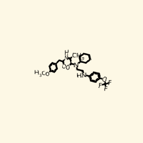 COc1ccc(CC(=O)NC(C)C(=O)N(CCNc2ccc(OC(F)(F)F)cc2)C2CCCCC2)cc1